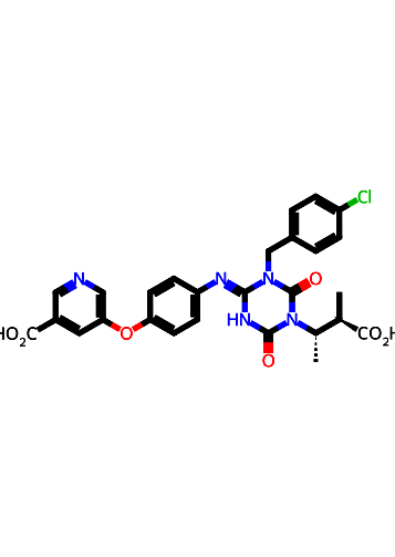 C[C@@H](C(=O)O)[C@H](C)n1c(=O)[nH]/c(=N\c2ccc(Oc3cncc(C(=O)O)c3)cc2)n(Cc2ccc(Cl)cc2)c1=O